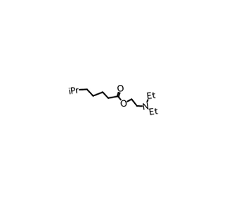 CCN(CC)CCOC(=O)CCCCC(C)C